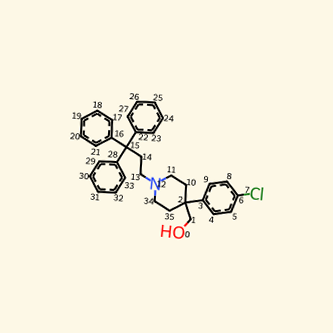 OCC1(c2ccc(Cl)cc2)CCN(CCC(c2ccccc2)(c2ccccc2)c2ccccc2)CC1